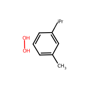 Cc1cccc(C(C)C)c1.OO